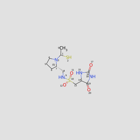 CC(S)N1CCC[C@H]1CNS(=O)(=O)CC1NC(=O)NC1=O